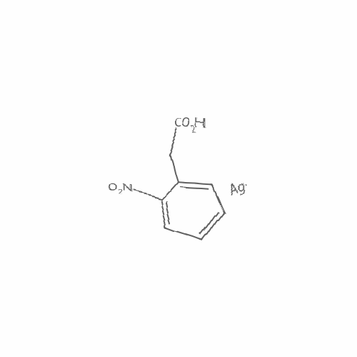 O=C(O)Cc1ccccc1[N+](=O)[O-].[Ag]